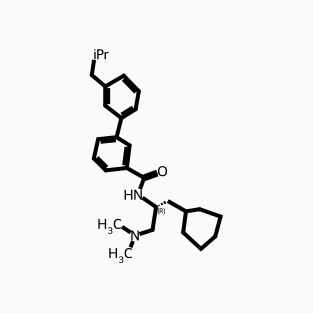 CC(C)Cc1cccc(-c2cccc(C(=O)N[C@H](CC3CCCCC3)CN(C)C)c2)c1